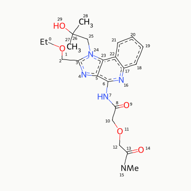 CCOCc1nc2c(NC(=O)COCC(=O)NC)nc3ccccc3c2n1CC(C)(C)O